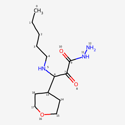 CCCCCNC(C(=O)C(=O)NN)C1CCOCC1